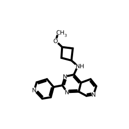 COC1CC(Nc2nc(-c3ccncc3)nc3cnccc23)C1